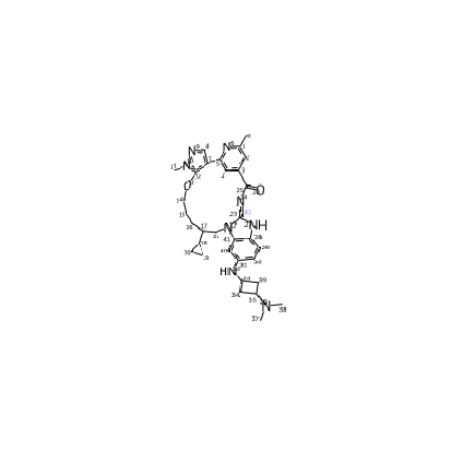 Cc1cc2cc(n1)-c1cnn(C)c1OCCCC(C1CC1)CN1/C(=N/C2=O)Nc2ccc(NC3CC(N(C)C)C3)cc21